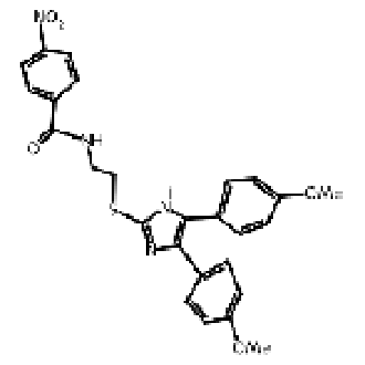 COc1ccc(-c2nc(SCCNC(=O)c3ccc([N+](=O)[O-])cc3)[nH]c2-c2ccc(OC)cc2)cc1